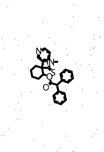 CNC(=S)C1(c2cccnc2)CCCCC1OC(=O)C(c1ccccc1)c1ccccc1